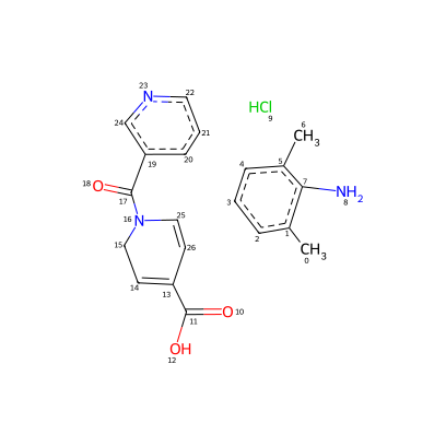 Cc1cccc(C)c1N.Cl.O=C(O)C1=CCN(C(=O)c2cccnc2)C=C1